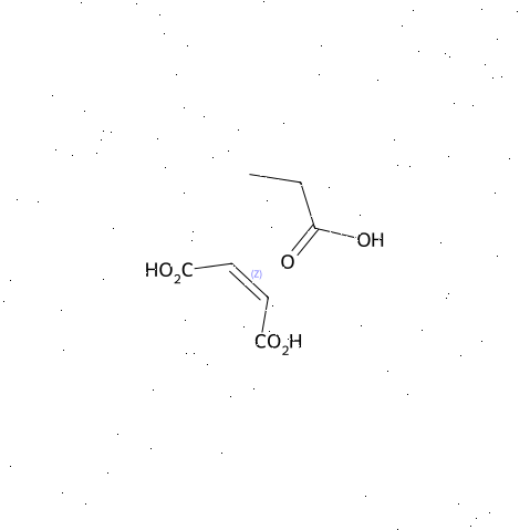 CCC(=O)O.O=C(O)/C=C\C(=O)O